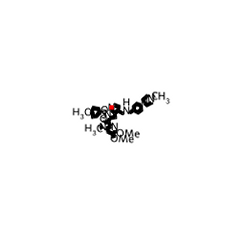 COc1cc2c(nc1OC)c(-c1cc3c(CNCc4ccc(N5CCN(C)CC5)cc4)ccnc3n1S(=O)(=O)c1ccc(C)cc1)cn2C